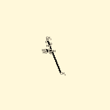 CCC=CCC=CCC=CCC=CCC=CCCCC(=O)N[C@@H](CCCNC(=O)C=CC(=O)OCC)C(=O)OC(CO)CO